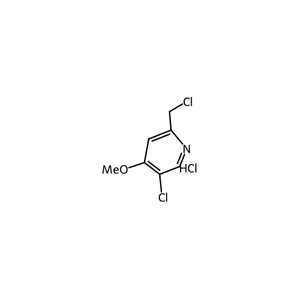 COc1cc(CCl)ncc1Cl.Cl